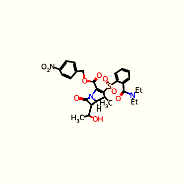 CCN(CC)C(=O)c1ccccc1S(=O)(=O)C1=C(C(=O)OCc2ccc([N+](=O)[O-])cc2)N2C(=O)C(C(C)O)[C@@H]2C1C